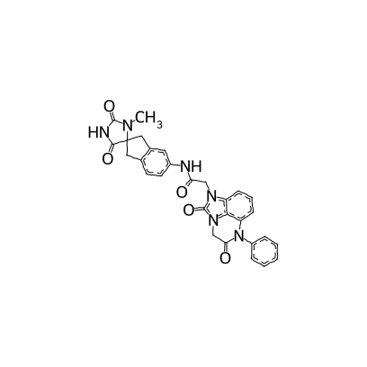 CN1C(=O)NC(=O)C12Cc1ccc(NC(=O)Cn3c(=O)n4c5c(cccc53)N(c3ccccc3)C(=O)C4)cc1C2